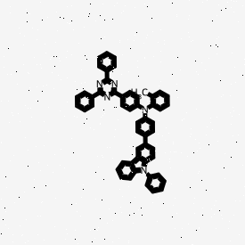 Cc1ccccc1N(c1ccc(-c2ccc3c(c2)c2ccccc2n3-c2ccccc2)cc1)c1ccc(-c2nc(-c3ccccc3)nc(-c3ccccc3)n2)cc1